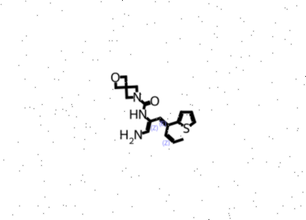 C\C=C/C(=C\C(=C\N)NC(=O)N1CC2(COC2)C1)c1cccs1